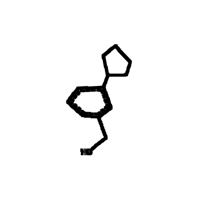 OCc1cccc(C2CCCC2)c1